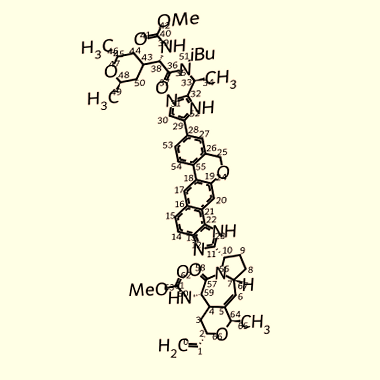 C=C[C@@H]1CC2C(=C[C@H]3CC[C@@H](c4nc5ccc6cc7c(cc6c5[nH]4)OCc4cc(-c5cnc([C@H](C)N(C(=O)[C@@H](NC(=O)OC)C6C[C@@H](C)O[C@H](C)C6)[C@@H](C)CC)[nH]5)ccc4-7)N3C(=O)[C@H]2NC(=O)OC)[C@@H](C)O1